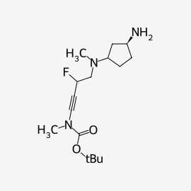 CN(C#CC(F)CN(C)C1CC[C@H](N)C1)C(=O)OC(C)(C)C